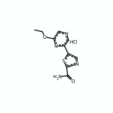 CCOc1cncc(-c2cnc(C(N)=O)s2)n1.Cl